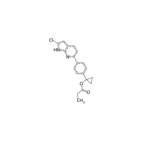 CCC(=O)OC1(c2ccc(-c3ccc4cc(Cl)[nH]c4n3)cc2)CC1